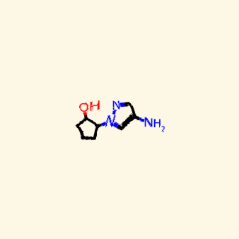 Nc1cnn(C2CCCC2O)c1